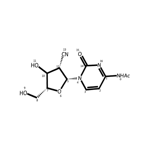 CC(=O)Nc1ccn([C@@H]2O[C@H](CO)C(O)[C@@H]2C#N)c(=O)n1